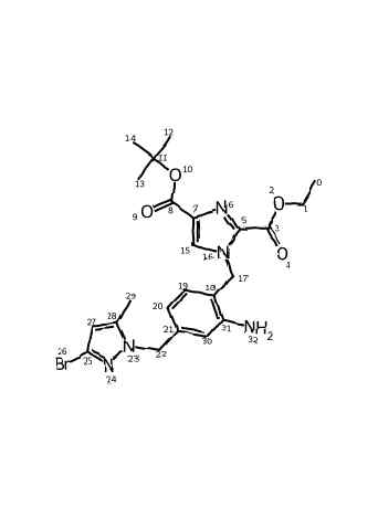 CCOC(=O)c1nc(C(=O)OC(C)(C)C)cn1Cc1ccc(Cn2nc(Br)cc2C)cc1N